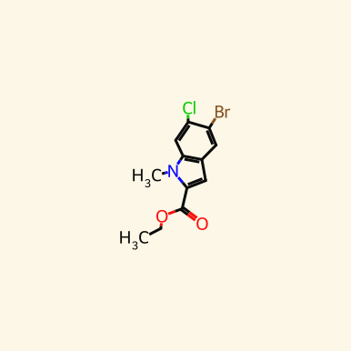 CCOC(=O)c1cc2cc(Br)c(Cl)cc2n1C